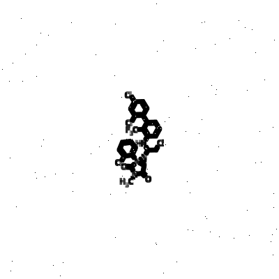 CN1C(=O)C2N(C(CCl)Nc3cccc(-c4ccc(Cl)cc4Cl)c3C(F)(F)F)[N+]2(c2ccccc2Cl)C1=O